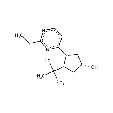 CNc1nccc(N2C[C@H](O)CC2C(C)(C)C)n1